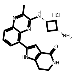 Cc1nc2cccc(-c3cc4c([nH]3)CCNC4=O)c2nc1N[C@H]1C[C@@H](N)C1.Cl